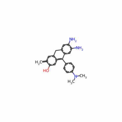 C=c1cc2c(cc1O)=C(c1ccc(N(C)C)cc1)c1cc(N)c(N)cc1C2